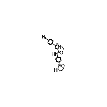 CCn1nc(-c2ccc(C#N)cc2)cc1C(=O)Nc1ccc([C@H]2CNCCO2)cc1